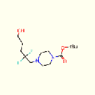 CC(C)(C)OC(=O)N1CCN(CC(F)(F)CCCO)CC1